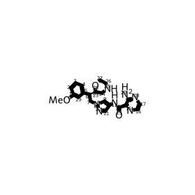 COc1cccc(C(Cn2cc(NC(=O)c3nccnc3N)cn2)[C@@H]2CNCCO2)c1